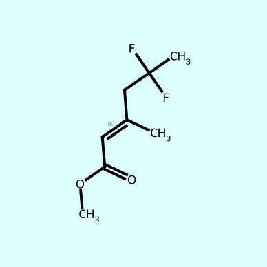 COC(=O)/C=C(\C)CC(C)(F)F